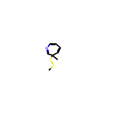 CSSC1(C)C=CC=CN=C1